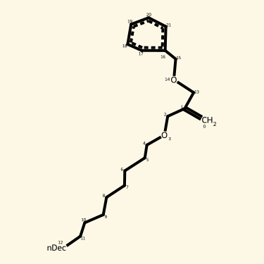 C=C(COCCCCCCCCCCCCCCCCCC)COCc1ccccc1